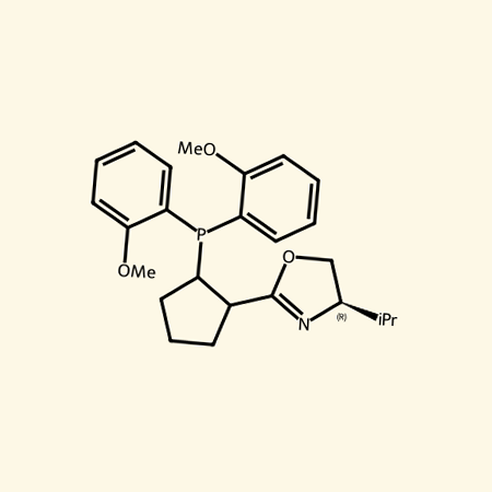 COc1ccccc1P(c1ccccc1OC)C1CCCC1C1=N[C@H](C(C)C)CO1